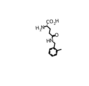 Cc1ccccc1CNC(=O)CC[C@H](N)C(=O)O